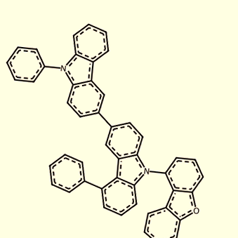 c1ccc(-c2cccc3c2c2cc(-c4ccc5c(c4)c4ccccc4n5-c4ccccc4)ccc2n3-c2cccc3oc4ccccc4c23)cc1